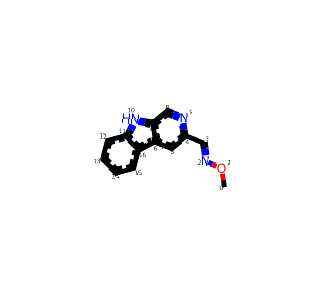 CON=Cc1cc2c(cn1)[nH]c1ccccc12